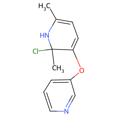 CC1=CC=C(Oc2cccnc2)C(C)(Cl)N1